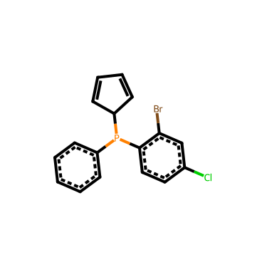 Clc1ccc(P(c2ccccc2)C2C=CC=C2)c(Br)c1